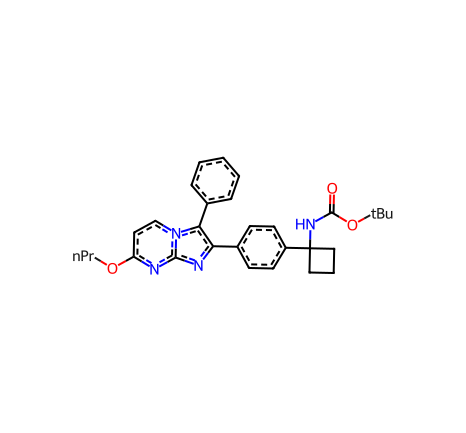 CCCOc1ccn2c(-c3ccccc3)c(-c3ccc(C4(NC(=O)OC(C)(C)C)CCC4)cc3)nc2n1